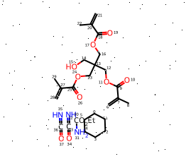 C1CCCCC1.C=C(C)C(=O)OCC(CO)(COC(=O)C(=C)C)COC(=O)C(=C)C.CCOC(N)=O.N=C=O.N=C=O